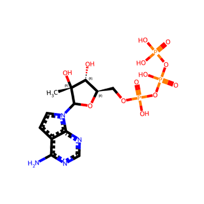 C[C@]1(O)C(n2ccc3c(N)ncnc32)O[C@H](COP(=O)(O)OP(=O)(O)OP(=O)(O)O)[C@H]1O